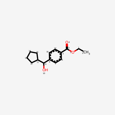 CCOC(=O)c1ccc(C(O)C2CCCC2)cc1